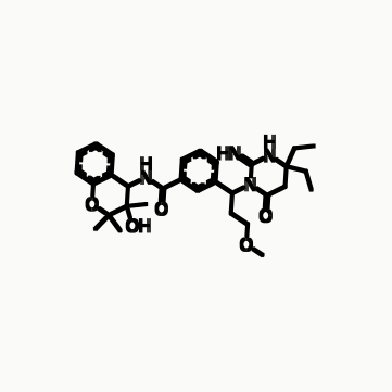 CCC1(CC)CC(=O)N(C(CCOC)c2cccc(C(=O)NC3c4ccccc4OC(C)(C)C3(C)O)c2)C(=N)N1